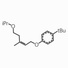 CC(=CCOc1ccc(C(C)(C)C)cc1)CCOC(C)C